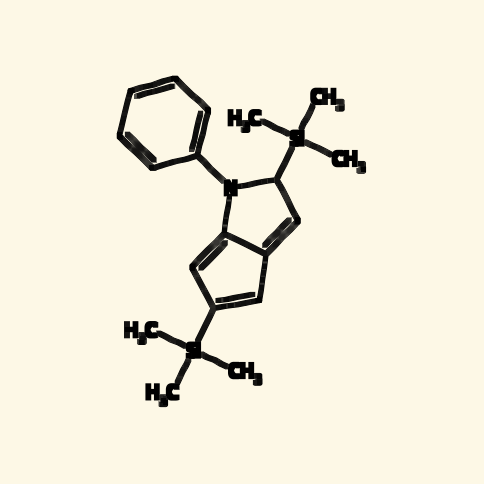 C[Si](C)(C)C1=CC2=CC([Si](C)(C)C)N(c3ccccc3)C2=C1